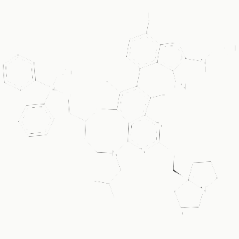 CC(C)(C)[Si](OCC1CCN(CC(F)F)c2nc(OC[C@@]34CCCN3C[C@H](F)C4)nc3c(F)c(-c4ccc(F)c5sc(NC(=O)O)c(C#N)c45)c(Cl)c(c23)O1)(c1ccccc1)c1ccccc1